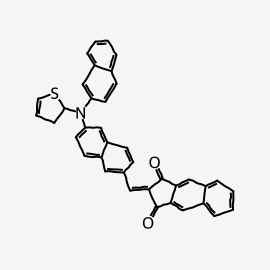 O=C1C(=Cc2ccc3cc(N(c4ccc5ccccc5c4)C4CC=CS4)ccc3c2)C(=O)c2cc3ccccc3cc21